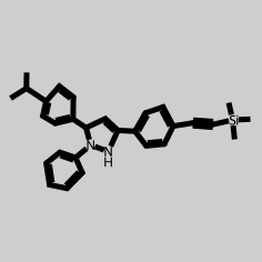 CC(C)c1ccc(C2C=C(c3ccc(C#C[Si](C)(C)C)cc3)NN2c2ccccc2)cc1